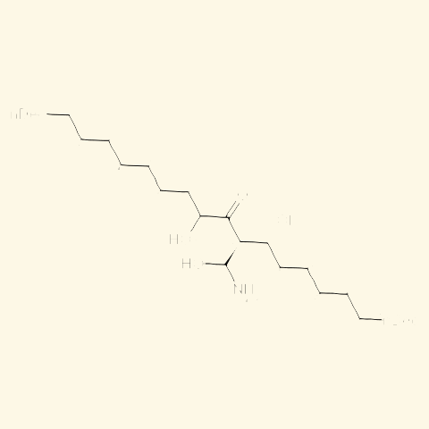 CCCCCCCCCCCCCCCCCC(O)C(=O)[C@H](C(N)O)[C@H](O)CCCCCCCCCCCCCCC